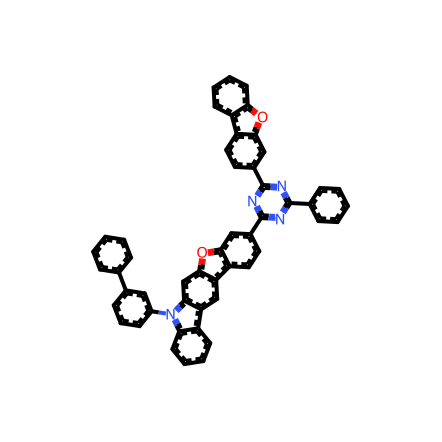 c1ccc(-c2cccc(-n3c4ccccc4c4cc5c(cc43)oc3cc(-c4nc(-c6ccccc6)nc(-c6ccc7c(c6)oc6ccccc67)n4)ccc35)c2)cc1